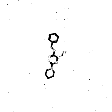 CC(C)C[C@H](OC(=O)N1CCCCC1)C(=O)OCc1ccccc1